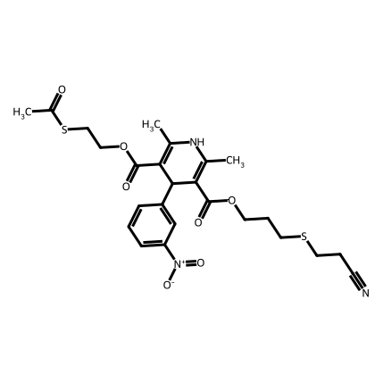 CC(=O)SCCOC(=O)C1=C(C)NC(C)=C(C(=O)OCCCSCCC#N)C1c1cccc([N+](=O)[O-])c1